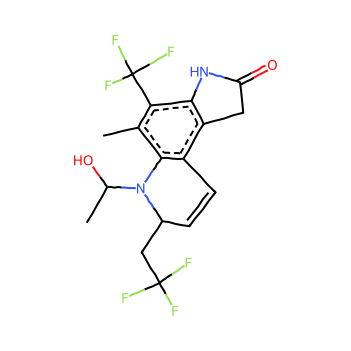 Cc1c2c(c3c(c1C(F)(F)F)NC(=O)C3)C=CC(CC(F)(F)F)N2C(C)O